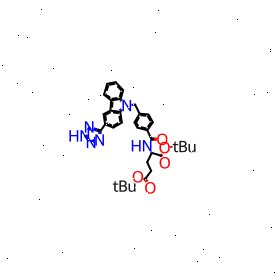 CC(C)(C)OC(=O)CCC(NC(=O)c1ccc(Cn2c3ccccc3c3cc(-c4nn[nH]n4)ccc32)cc1)C(=O)OC(C)(C)C